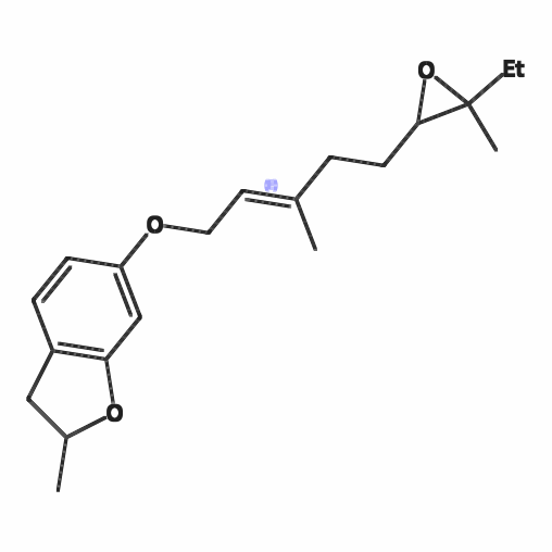 CCC1(C)OC1CC/C(C)=C/COc1ccc2c(c1)OC(C)C2